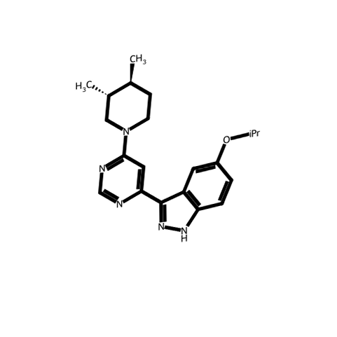 CC(C)Oc1ccc2[nH]nc(-c3cc(N4CC[C@H](C)[C@@H](C)C4)ncn3)c2c1